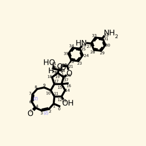 CC1/C=C\C(=O)/C=C\CCC2C1C(O)CC1(C)C2C[C@H]2O[C@@H](c3ccc(Nc4cccc(N)c4)cc3)O[C@]21C(=O)CO